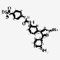 CCS(=O)(=O)c1ccc(NC(=O)Nc2cccc(-c3cn(C(C)(C)C)nc3-c3ccnc(N)n3)c2)cc1